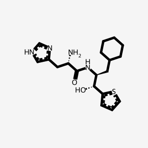 N[C@@H](Cc1c[nH]cn1)C(=O)N[C@@H](CC1CCCCC1)[C@@H](O)c1cccs1